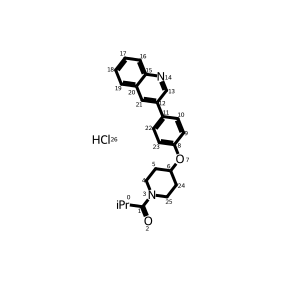 CC(C)C(=O)N1CCC(Oc2ccc(-c3cnc4ccccc4c3)cc2)CC1.Cl